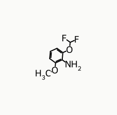 COc1cccc(OC(F)F)c1N